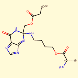 CCCCCCCCCCCC(=O)OCC1(NCCCCOC(=O)[C@@H](N)C(C)C)N=C2N=CN=C2C(=O)N1